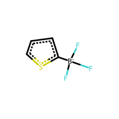 F[B-](F)(F)c1cccs1